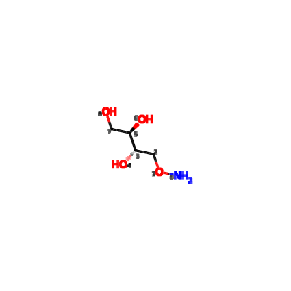 NOC[C@H](O)[C@H](O)CO